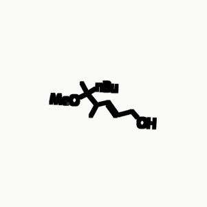 CCCCC(C)(OC)C(C)C=CCO